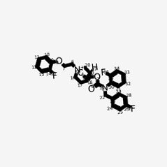 O=C(O[C@H]1C[N+]2(CCOc3ccccc3F)CCC1CC2)N(Cc1ccc(F)cc1)c1ccccc1F